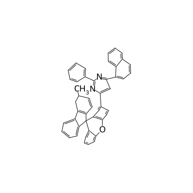 CC1C=CC2=C(C1)c1ccccc1C21c2ccccc2Oc2ccc(-c3cc(-c4cccc5ccccc45)nc(-c4ccccc4)n3)cc21